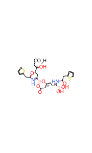 O=C(O)C[C@@H](O)CC[C@H](NC(=O)Cc1cccs1)B1OC(=O)C[C@H](CC[C@H](NC(=O)Cc2cccs2)B(O)O)O1